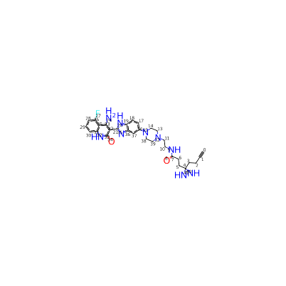 C#CCCC1(CCC(=O)NCCN2CCN(c3ccc4[nH]c(-c5c(N)c6c(F)cccc6[nH]c5=O)nc4c3)CC2)NN1